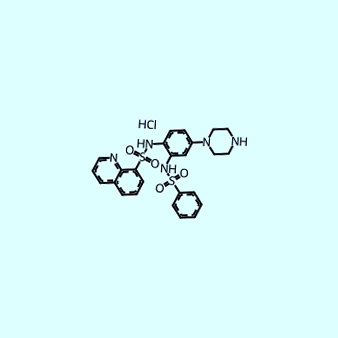 Cl.O=S(=O)(Nc1cc(N2CCNCC2)ccc1NS(=O)(=O)c1cccc2cccnc12)c1ccccc1